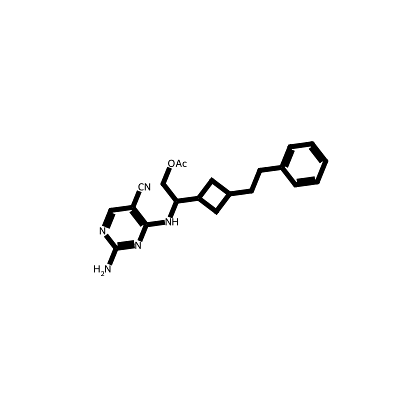 CC(=O)OCC(Nc1nc(N)ncc1C#N)C1CC(CCc2ccccc2)C1